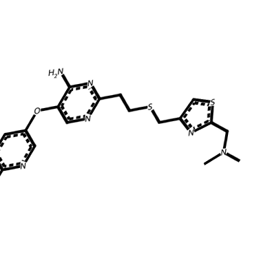 Cc1ccc(Oc2cnc(CCSCc3csc(CN(C)C)n3)nc2N)cn1